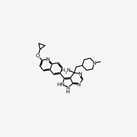 CN1CCC(CC2(N)N=CN=C3NNC(c4ccc5nc(OC6CC6)ccc5c4)=C32)CC1